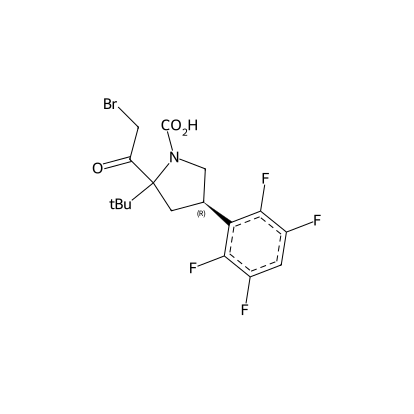 CC(C)(C)C1(C(=O)CBr)C[C@H](c2c(F)c(F)cc(F)c2F)CN1C(=O)O